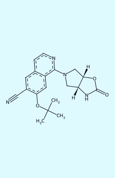 CC(C)(C)Oc1cc2c(N3C[C@@H]4OC(=O)N[C@@H]4C3)nccc2cc1C#N